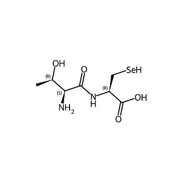 C[C@@H](O)[C@H](N)C(=O)N[C@@H](C[SeH])C(=O)O